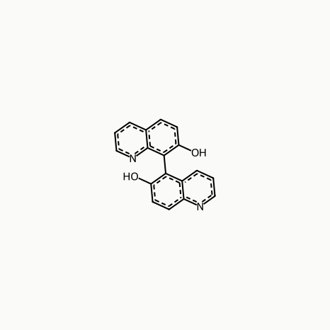 Oc1ccc2ncccc2c1-c1c(O)ccc2cccnc12